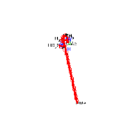 COCCOCCOCCOCCOCCOCCOCCOCCOCCOCCOCCOCCOCCOCCOCCOCCOCCOCCOCCOCCOCCOCCOCCOCCC(=O)NCCCC[C@H](NC(=O)[C@@H](NC(=O)CCCC(=O)O)C(C)C)C(=O)NCc1ccc([C@H]2O[C@@H]2[C@@H](C)[C@@H]2C/C=C/C(=O)N[C@H](Cc3ccc(OC)c(Cl)c3)C(=O)NCC(C)(C)C(=O)O[C@@H](CC(C)C)C(=O)O2)cc1